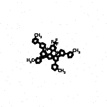 Cc1cccc(-c2ccc3c(c2)c2cc(-c4cccc(C)c4)ccc2n3-c2cc(C(F)(F)F)cc(-n3c4ccc(-c5cccc(C)c5)cc4c4cc(-c5cccc(C)c5)ccc43)c2-c2cccc(C#N)c2)c1